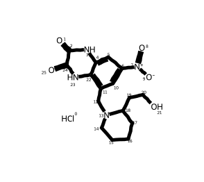 Cl.O=c1[nH]c2cc([N+](=O)[O-])cc(CN3CCCCC3CCO)c2[nH]c1=O